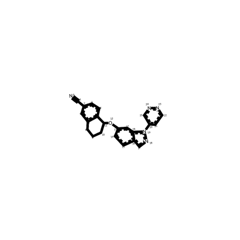 N#Cc1ccc2c(c1)CCCC2Oc1ccc2cnn(-c3ccnnc3)c2c1